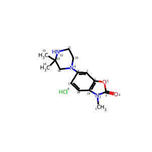 Cl.Cn1c(=O)oc2cc(N3CCNC(C)(C)C3)ccc21